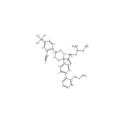 CCOc1ncccc1-c1ccc(C2(C(=O)NCC(N)CO)CCN(c3ccc(C(F)(F)F)cc3C#N)CC2)cn1